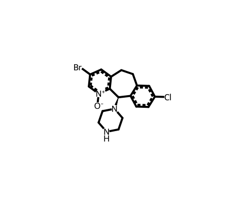 [O-][n+]1cc(Br)cc2c1[C@H](N1CCNCC1)c1ccc(Cl)cc1CC2